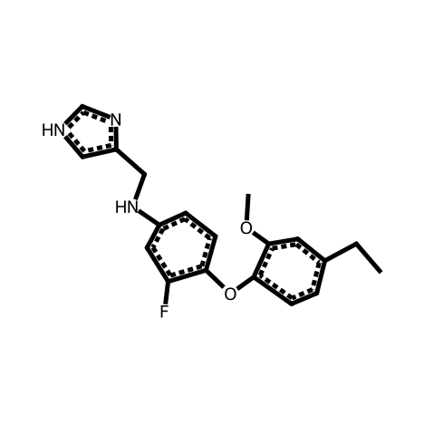 CCc1ccc(Oc2ccc(NCc3c[nH]cn3)cc2F)c(OC)c1